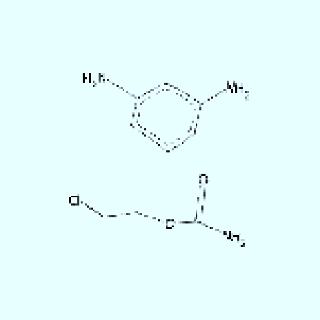 NC(=O)OCCCl.Nc1cccc(N)c1